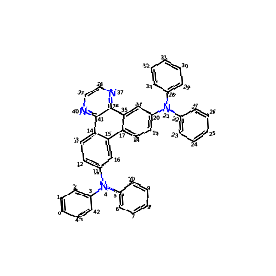 c1ccc(N(c2ccccc2)c2ccc3c(c2)c2ccc(N(c4ccccc4)c4ccccc4)cc2c2nccnc32)cc1